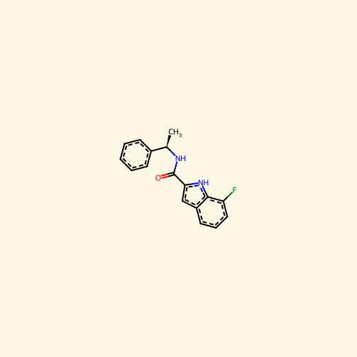 C[C@@H](NC(=O)c1cc2cccc(F)c2[nH]1)c1ccccc1